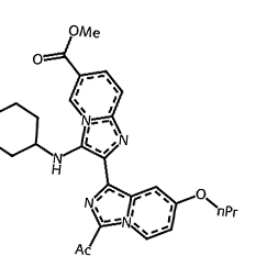 CCCOc1ccn2c(C(C)=O)nc(-c3nc4ccc(C(=O)OC)cn4c3NC3CCCCC3)c2c1